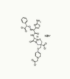 Nc1nc(C(=NOC(C(=O)[O-])c2ccccc2)C(=O)NC2C(=O)N3CC(CSc4cc[n+](CC(=O)[O-])cc4)(C(=O)[O-])CS[C@H]23)cs1.[Na+].[Na+]